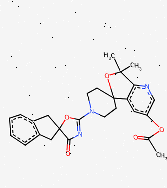 CC(=O)Oc1cnc2c(c1)C1(CCN(C3=NC(=O)C4(Cc5ccccc5C4)O3)CC1)OC2(C)C